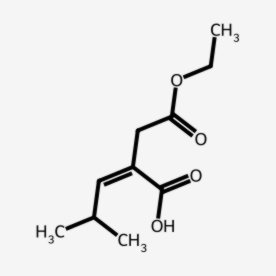 CCOC(=O)CC(=CC(C)C)C(=O)O